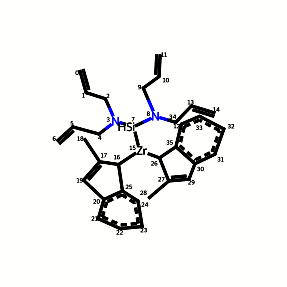 C=CCN(CC=C)[SiH](N(CC=C)CC=C)[Zr]([CH]1C(C)=Cc2ccccc21)[CH]1C(C)=Cc2ccccc21